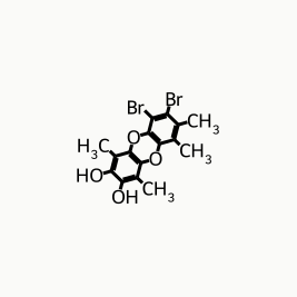 Cc1c(C)c2c(c(Br)c1Br)Oc1c(C)c(O)c(O)c(C)c1O2